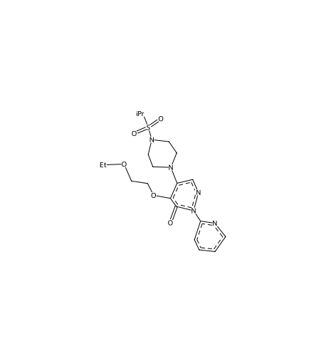 CCOCCOc1c(N2CCN(S(=O)(=O)C(C)C)CC2)cnn(-c2ccccn2)c1=O